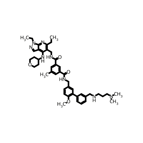 CCc1nc2c(cnn2CC)c(NC2CCOCC2)c1CNC(=O)c1cc(C)cc(C(=O)NCc2ccc(OC)c(-c3cccc(CNCCCN(C)C)c3)c2)c1